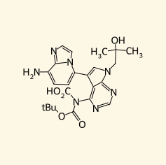 CC(C)(O)Cn1cc(-c2ccc(N)c3nccn23)c2c(N(C(=O)O)C(=O)OC(C)(C)C)ncnc21